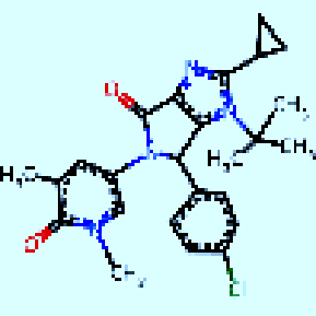 Cc1cc(N2C(=O)c3nc(C4CC4)n(C(C)(C)C)c3C2c2ccc(Cl)cc2)cn(C)c1=O